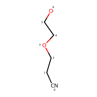 N#CCCOCC[O]